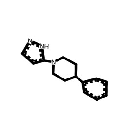 c1ccc(C2CCN(c3ccn[nH]3)CC2)cc1